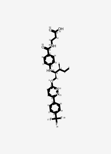 CC[C@H](C)[C@@H](COc1ccc(-c2ccc(C(F)(F)F)cc2)nn1)Nc1ccc(C(=O)NCCC(=O)O)cc1